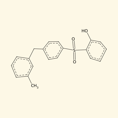 Cc1cccc(Cc2ccc(S(=O)(=O)c3ccccc3O)cc2)c1